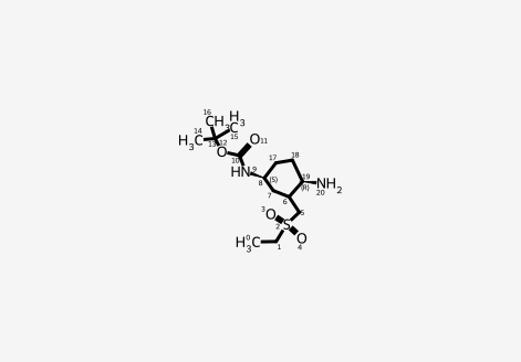 CCS(=O)(=O)CC1C[C@@H](NC(=O)OC(C)(C)C)CC[C@H]1N